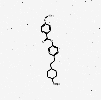 CCCCCCCCCCOc1ccc(C(=O)Oc2ccc(CCC3CCC(CCCCCCC)CC3)cc2)cc1